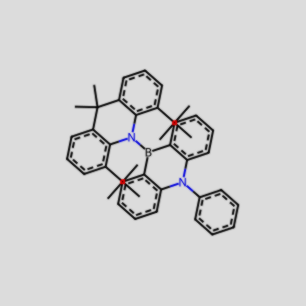 CC(C)(C)c1cccc2c1N(B1c3ccccc3N(c3ccccc3)c3ccccc31)c1c(C(C)(C)C)cccc1C2(C)C